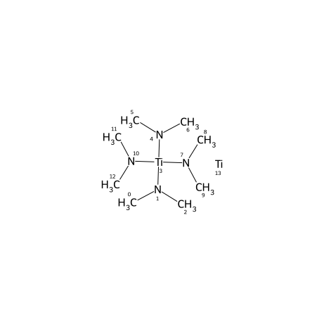 C[N](C)[Ti]([N](C)C)([N](C)C)[N](C)C.[Ti]